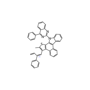 C=C/C(=C\c1c(C)sc2c1c1ccccc1c1c3ccccc3n(-c3nc(-c4ccccc4)c4ccccc4n3)c21)c1ccccc1